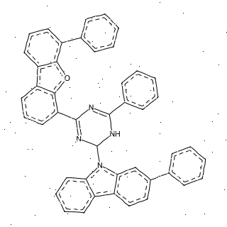 c1ccc(C2=NC(c3cccc4c3oc3c(-c5ccccc5)cccc34)=NC(n3c4ccccc4c4ccc(-c5ccccc5)cc43)N2)cc1